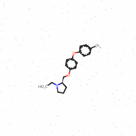 O=C(O)CN1CCC[C@@H]1COc1ccc(Oc2ccc(C(F)(F)F)cc2)cc1